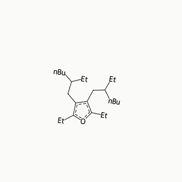 CCCCC(CC)Cc1c(CC)oc(CC)c1CC(CC)CCCC